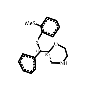 CSc1ccccc1S[C@H](c1ccccc1)[C@H]1CNCCO1